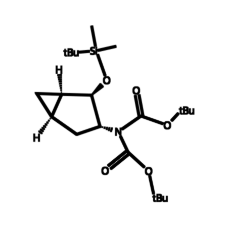 CC(C)(C)OC(=O)N(C(=O)OC(C)(C)C)[C@@H]1C[C@H]2C[C@H]2[C@H]1O[Si](C)(C)C(C)(C)C